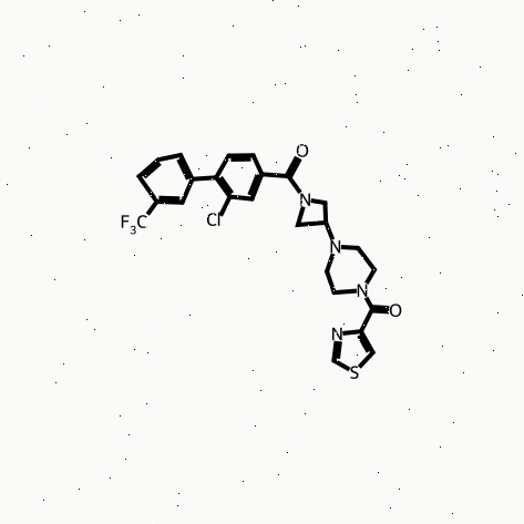 O=C(c1ccc(-c2cccc(C(F)(F)F)c2)c(Cl)c1)N1CC(N2CCN(C(=O)c3cscn3)CC2)C1